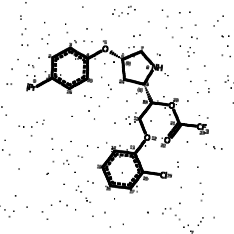 CC(C)c1ccc(O[C@@H]2CN[C@H](C(COc3ccccc3Cl)OC(=O)C(F)(F)F)C2)cc1